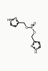 O=[PH](OCc1cc[nH]n1)OCc1cc[nH]n1